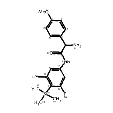 COc1ccc(C(N)C(=O)Nc2cc(F)c([Si](C)(C)C)c(F)c2)cc1